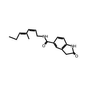 CC/C=C(C)/C=C\CNC(=O)c1ccc2c(c1)CC(=O)N2